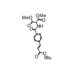 COC(=O)C(NC(=O)c1ccc(C=CC(=O)OC(C)(C)C)cc1)C(=O)OC